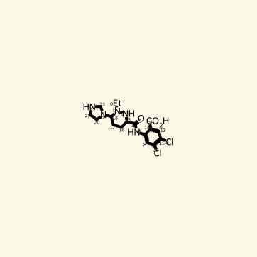 CCN1NC(C(=O)Nc2cc(Cl)c(Cl)cc2C(=O)O)CCC1N1CCNC1